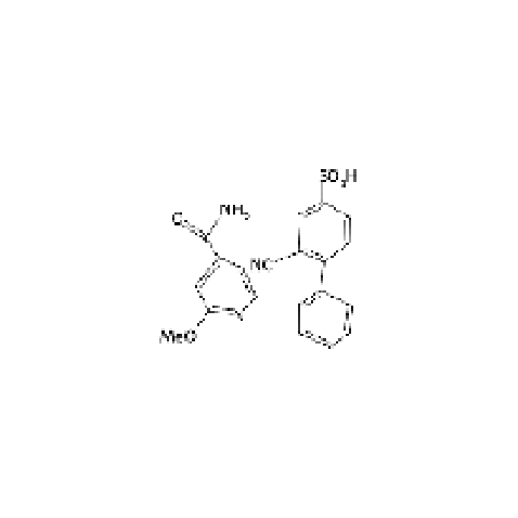 COc1cc(C(N)=O)ccn1.N#Cc1cc(S(=O)(=O)O)ccc1-c1ccccc1